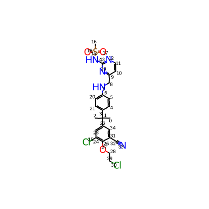 CC(C)(c1ccc(NCc2ccnc(NS(C)(=O)=O)n2)cc1)c1cc(Cl)c(OCCCl)c(C#N)c1